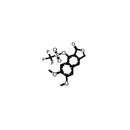 COc1cc2cc3c(c(OS(=O)(=O)C(F)(F)F)c2cc1OC)C(=O)OC3